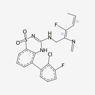 C=N/C(CNC1=NS(=O)(=O)c2cccc(-c3cccc(F)c3Cl)c2N1)=C(F)\C=C/C